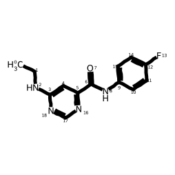 CCNc1cc(C(=O)Nc2ccc(F)cc2)ncn1